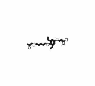 CCc1cc(OCC=C(Cl)Cl)cc(CC)c1OCCCCCOCC(C)=O